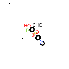 O=Cc1cc(S(=O)(=O)c2ccc(N3CCCC3)cc2)cc(F)c1O